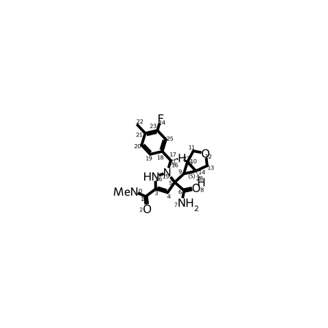 CNC(=O)C1=CC(C(N)=O)(C2[C@H]3COC[C@@H]23)N([C@@H](C)c2ccc(C)c(F)c2)N1